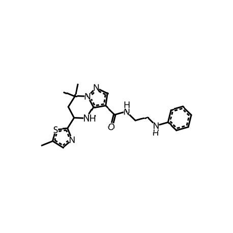 Cc1cnc(C2CC(C)(C)n3ncc(C(=O)NCCNc4ccccc4)c3N2)s1